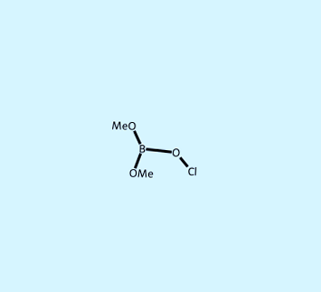 COB(OC)OCl